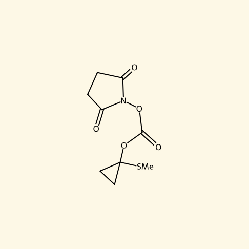 CSC1(OC(=O)ON2C(=O)CCC2=O)CC1